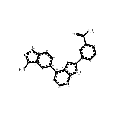 NC(=O)c1cccc(-c2cc3c(-c4ccc5[nH]nc(N)c5c4)ccnc3[nH]2)c1